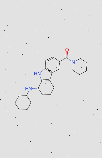 O=C(c1ccc2[nH]c3c(c2c1)CCCC3NC1CCCCC1)N1CCCCC1